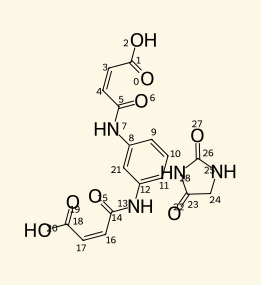 O=C(O)/C=C\C(=O)Nc1cccc(NC(=O)/C=C\C(=O)O)c1.O=C1CNC(=O)N1